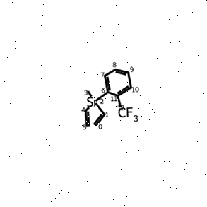 C=C[Si](C)(C=C)c1ccccc1C(F)(F)F